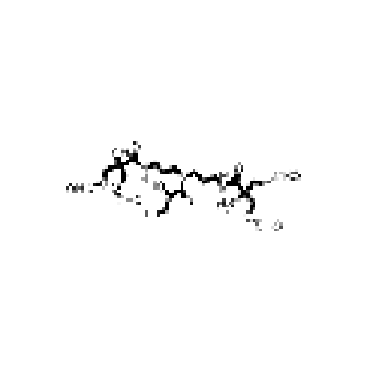 CC(COC=O)(COC=O)C(=O)NCCCN(CCCNC(=O)C(C)(COC=O)COC=O)C(=O)C(O)CO